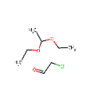 CCOC(C)OCC.O=CCCl